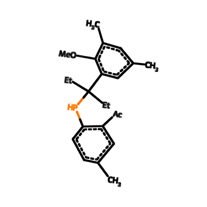 CCC(CC)(Pc1ccc(C)cc1C(C)=O)c1cc(C)cc(C)c1OC